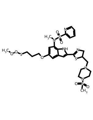 COOSCCCOc1cc(N(C)S(=O)(=O)c2ccccn2)c2[nH]c(C3=NCC(CN4CCN(S(C)(=O)=O)CC4)S3)cc2c1